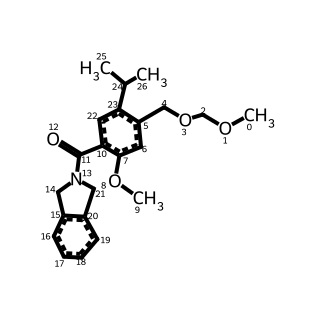 COCOCc1cc(OC)c(C(=O)N2Cc3ccccc3C2)cc1C(C)C